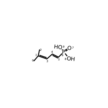 CC(C)=C/C=C/P(=O)(O)O